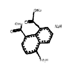 COC(=O)c1cccc2c(S(=O)(=O)O)ccc(C(=O)OC)c12.[NaH]